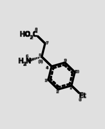 CCc1ccc([C@H](N)CC(=O)O)cc1